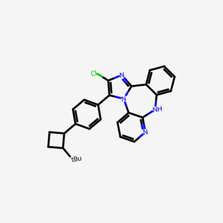 CC(C)(C)C1CC[C]1c1ccc(-c2c(Cl)nc3n2-c2cccnc2Nc2ccccc2-3)cc1